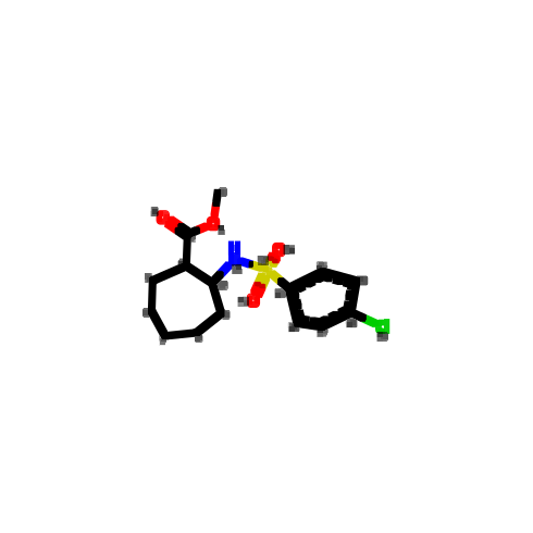 COC(=O)C1CCCCCC1NS(=O)(=O)c1ccc(Cl)cc1